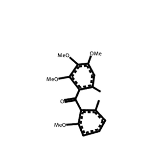 COc1cc(C)c(C(=O)c2c(C)cccc2OC)c(OC)c1OC